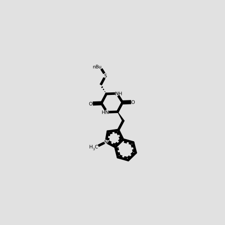 CCCCSC[C@@H]1NC(=O)[C@@H](Cc2cn(C)c3ccccc23)NC1=O